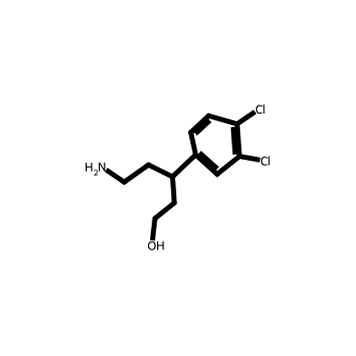 NCCC(CCO)c1ccc(Cl)c(Cl)c1